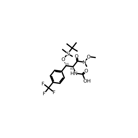 CON(C)C(=O)[C@@H](NC(=O)O)[C@@H](O[Si](C)(C)C(C)(C)C)c1ccc(C(F)(F)F)cc1